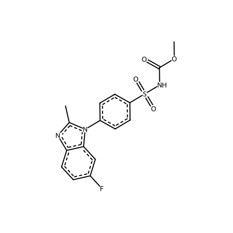 COC(=O)NS(=O)(=O)c1ccc(-n2c(C)nc3ccc(F)cc32)cc1